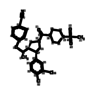 C[C@H](Oc1ccc(C#N)cc1)[C@@H]1CN(C(=O)N2CCN(S(C)(=O)=O)CC2)C[C@H]1c1ccc(Cl)c(Cl)c1